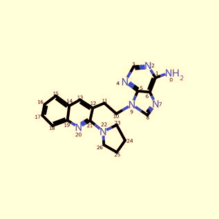 Nc1ncnc2c1ncn2CCc1cc2ccccc2nc1N1CCCC1